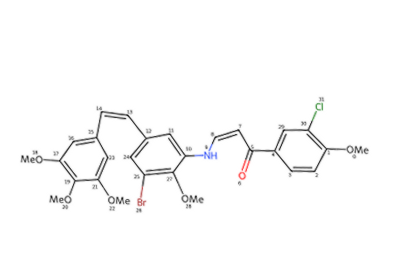 COc1ccc(C(=O)/C=C\Nc2cc(/C=C\c3cc(OC)c(OC)c(OC)c3)cc(Br)c2OC)cc1Cl